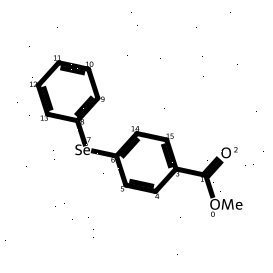 COC(=O)c1ccc([Se]c2ccccc2)cc1